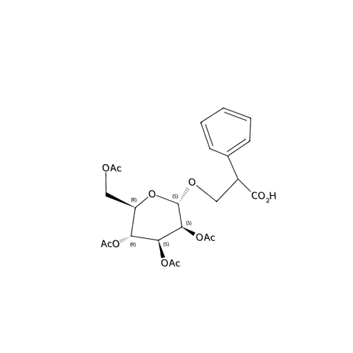 CC(=O)OC[C@H]1O[C@H](OCC(C(=O)O)c2ccccc2)[C@@H](OC(C)=O)[C@@H](OC(C)=O)[C@@H]1OC(C)=O